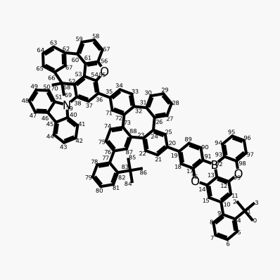 CC(C)(C)c1ccccc1-c1cc2c3c(c1)Oc1cc(-c4ccc5c(c4)-c4ccccc4-c4ccc(-c6cc(-n7c8ccccc8c8ccccc87)c7c8c6oc6cccc(c68)-c6cccc(c6)C7(C)C)cc4-c4ccc(-c6ccccc6C(C)(C)C)cc4-5)ccc1B3c1ccccc1O2